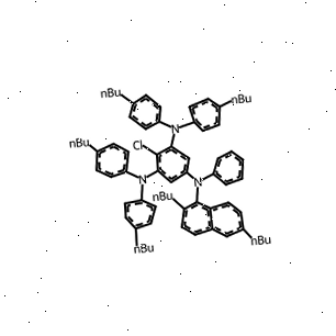 CCCCc1ccc(N(c2ccc(CCCC)cc2)c2cc(N(c3ccccc3)c3c(CCCC)ccc4cc(CCCC)ccc34)cc(N(c3ccc(CCCC)cc3)c3ccc(CCCC)cc3)c2Cl)cc1